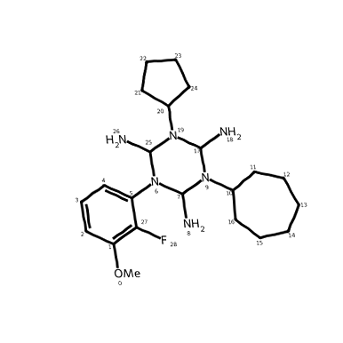 COc1cccc(N2C(N)N(C3CCCCCC3)C(N)N(C3CCCC3)C2N)c1F